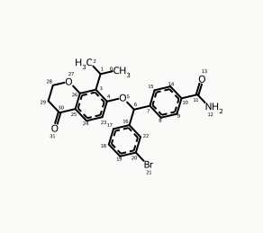 CC(C)c1c(OC(c2ccc(C(N)=O)cc2)c2cccc(Br)c2)ccc2c1OCCC2=O